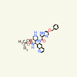 CC(C)(C)OC(=O)NC(c1cc2ncccc2cc1NC(=O)c1cnn2cc(OCc3ccccc3)cnc12)C1CCNCC1